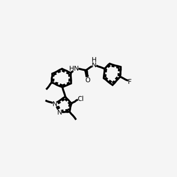 Cc1ccc(NC(=O)Nc2ccc(F)cc2)cc1-c1c(Cl)c(C)nn1C